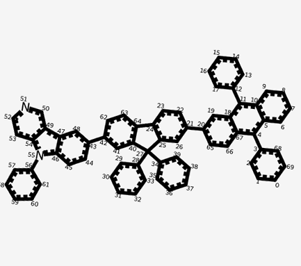 c1ccc(-c2c3ccccc3c(-c3ccccc3)c3cc(-c4ccc5c(c4)C(c4ccccc4)(c4ccccc4)c4cc(-c6ccc7c(c6)c6cnccc6n7-c6ccccc6)ccc4-5)ccc23)cc1